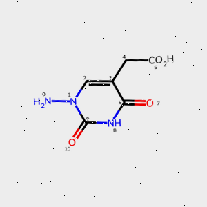 Nn1cc(CC(=O)O)c(=O)[nH]c1=O